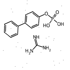 N=C(N)N.O=P(O)(O)Oc1ccc(-c2ccccc2)cc1